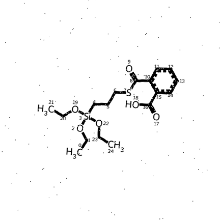 CCO[Si](CCCSC(=O)c1ccccc1C(=O)O)(OCC)OCC